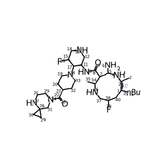 CCCC/C1=C(\C)NC(N)C(C(=O)NC2CNCC(F)C2N2CCC(C(=O)N3CCNC4(CC4)C3)CC2)C(C)NCC(F)C1